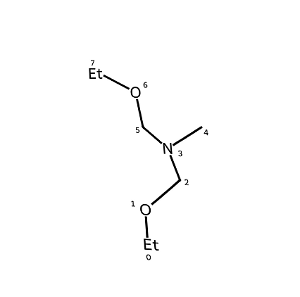 CCOCN(C)COCC